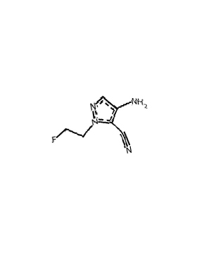 N#Cc1c(N)cnn1CCF